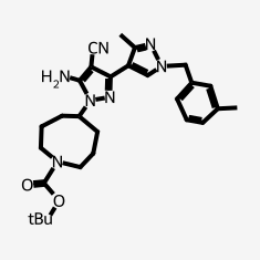 Cc1cccc(Cn2cc(-c3nn(C4CCCN(C(=O)OC(C)(C)C)CCC4)c(N)c3C#N)c(C)n2)c1